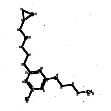 CCCCOc1nc(Cl)nc(CCCOCC2CO2)n1